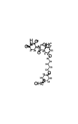 CN(C(=O)c1cc(OCCCCCOC2CCN(C=O)CC2)ccc1C=O)C1CCC(=O)NC1=O